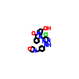 O=C(c1ccccc1Nc1nc(Nc2ccc(CN3CCOCC3)cc2)ncc1Cl)N1CCC(O)CC1